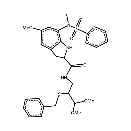 COc1cc2c(c(N(C)S(=O)(=O)c3ccccn3)c1)NC(C(=O)NCC(SCc1ccccc1)C(OC)OC)C2